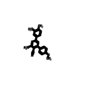 COc1ccc(-c2cc(-c3ccc(C)c(C)c3)nc(N)c2C#N)cc1